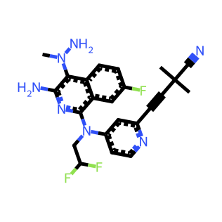 CN(N)c1c(N)nc(N(CC(F)F)c2ccnc(C#CC(C)(C)C#N)c2)c2cc(F)ccc12